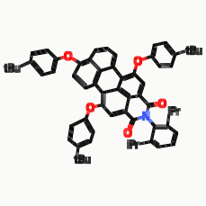 CC(C)c1cccc(C(C)C)c1N1C(=O)c2cc(Oc3ccc(C(C)(C)C)cc3)c3c4cccc5c(Oc6ccc(C(C)(C)C)cc6)ccc(c6c(Oc7ccc(C(C)(C)C)cc7)cc(c2c36)C1=O)c54